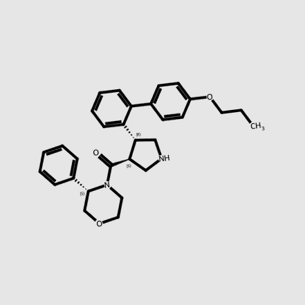 CCCOc1ccc(-c2ccccc2[C@@H]2CNC[C@H]2C(=O)N2CCOC[C@@H]2c2ccccc2)cc1